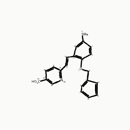 CSc1ccc(OCc2ccccc2)c(/C=C/c2ccc(C(=O)O)cn2)c1